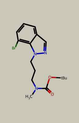 CN(CCCn1ncc2cccc(Br)c21)C(=O)OC(C)(C)C